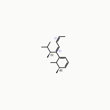 C/C=C\C=C(\C1=CC=C[C@@H](C)C1C)[C@@H](C)C(C)C